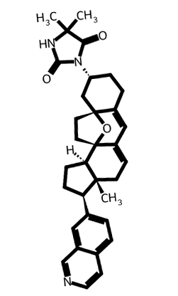 CC1(C)NC(=O)N([C@@H]2CCC3=CC4=CC[C@]5(C)[C@@H](c6ccc7ccncc7c6)CC[C@H]5[C@@]45CC[C@]3(C2)O5)C1=O